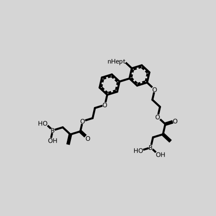 C=C(CB(O)O)C(=O)OCCOc1cccc(-c2cc(OCCOC(=O)C(=C)CB(O)O)ccc2CCCCCCC)c1